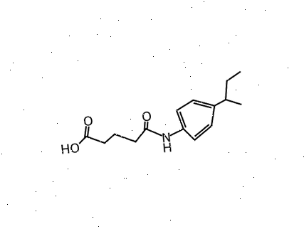 CCC(C)c1ccc(NC(=O)CCCC(=O)O)cc1